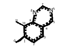 Cc1ccc2cncnc2c1C